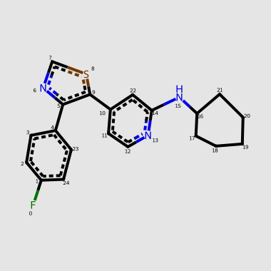 Fc1ccc(-c2ncsc2-c2ccnc(NC3CCCCC3)c2)cc1